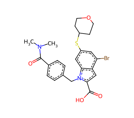 CN(C)C(=O)c1ccc(Cn2c(C(=O)O)cc3c(Br)cc(SC4CCOCC4)cc32)cc1